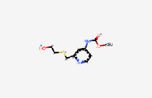 CC(C)(C)OC(=O)Nc1ccnc(CSCCO)c1